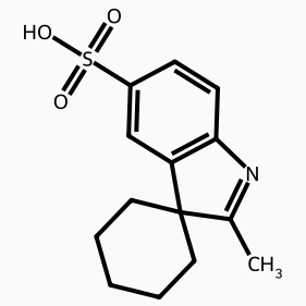 CC1=Nc2ccc(S(=O)(=O)O)cc2C12CCCCC2